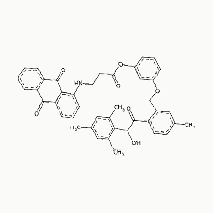 Cc1cc(C)c(C(O)C(=O)c2ccc(C)cc2COc2cccc(OC(=O)CCNc3cccc4c3C(=O)c3ccccc3C4=O)c2)c(C)c1